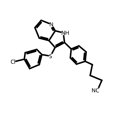 N#CCCCc1ccc(-c2[nH]c3ncccc3c2Sc2ccc(Cl)cc2)cc1